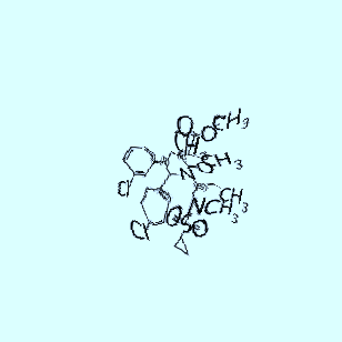 CC[C@@H](CN(C)S(=O)(=O)C1CC1)N1C(=O)[C@@](C)(C(C)C(=O)OC)C[C@H](c2cccc(Cl)c2)C1c1ccc(Cl)cc1